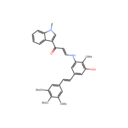 COc1cc(C=Cc2cc(O)c(OC)c(NC=CC(=O)c3cn(C)c4ccccc34)c2)cc(OC)c1OC